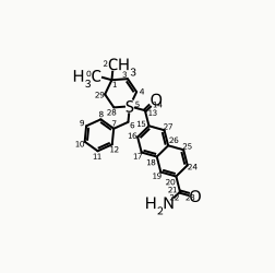 CC1(C)C=CS(Cc2ccccc2)(C(=O)c2ccc3cc(C(N)=O)ccc3c2)CC1